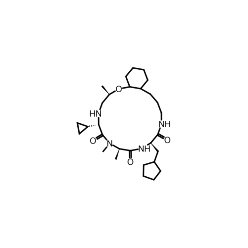 C[C@@H]1CN[C@@H](C2CC2)C(=O)N(C)[C@H](C)C(=O)N[C@H](CC2CCCC2)C(=O)NCCCC2CCCCC2O1